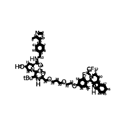 Cc1ncsc1-c1ccc(CNC(=O)[C@@H]2C[C@@H](O)CN2C(=O)C(NC(=O)COCCCOCCOc2cc(F)c([C@@H]3c4[nH]c5ccccc5c4C[C@@H](C)N3CC(F)(F)F)c(F)c2)C(C)(C)C)cc1